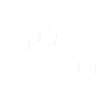 CS(=O)(=O)Nc1cncc(C#Cc2ccccc2)c1